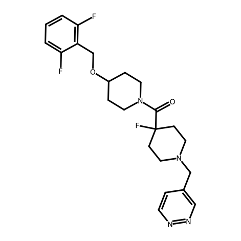 O=C(N1CCC(OCc2c(F)cccc2F)CC1)C1(F)CCN(Cc2ccnnc2)CC1